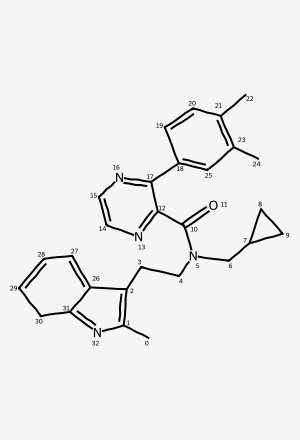 CC1=C(CCN(CC2CC2)C(=O)c2nccnc2-c2ccc(C)c(C)c2)C2=CC=CCC2=N1